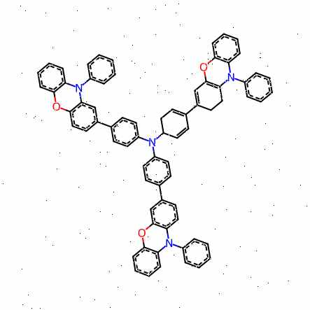 C1=CC(N(c2ccc(-c3ccc4c(c3)Oc3ccccc3N4c3ccccc3)cc2)c2ccc(-c3ccc4c(c3)N(c3ccccc3)c3ccccc3O4)cc2)CC=C1C1=CC2=C(CC1)N(c1ccccc1)c1ccccc1O2